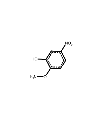 O=[N+]([O-])c1ccc(OC(F)(F)F)c(O)c1